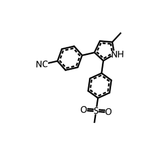 Cc1cc(-c2ccc(C#N)cc2)c(-c2ccc(S(C)(=O)=O)cc2)[nH]1